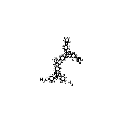 Cc1ccc(OP(Oc2ccc(C)cc2)Oc2ccc(CC3CCCN3c3ccc(OP(Oc4ccc(N5CCCC5)cc4)Oc4ccc(N5CCCC5)cc4)cc3)cc2)cc1